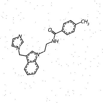 Cc1ccc(C(=O)NCCn2cc(Cn3ccnc3)c3ccccc32)cc1